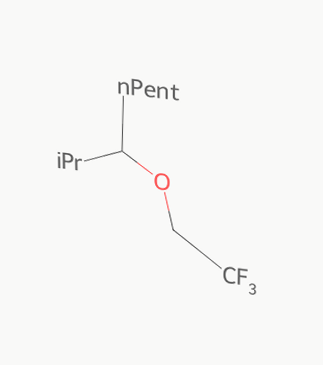 CCCCCC(OCC(F)(F)F)C(C)C